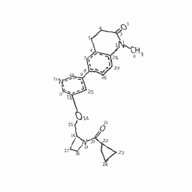 CN1C(=O)CCc2cc(-c3cncc(OCC4CCN4C(=O)C4CC4)c3)ccc21